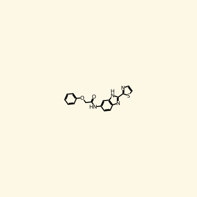 O=C(COc1ccccc1)Nc1ccc2nc(-c3nccs3)[nH]c2c1